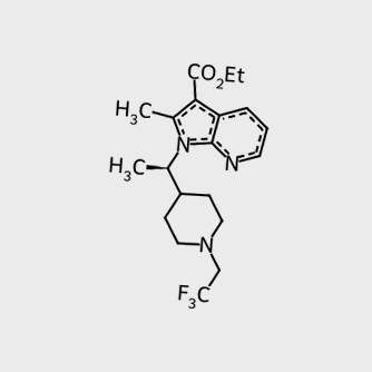 CCOC(=O)c1c(C)n([C@H](C)C2CCN(CC(F)(F)F)CC2)c2ncccc12